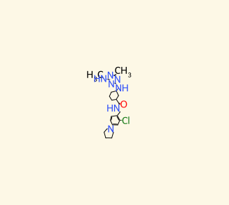 CNc1nc(C)nc(NC2CCCC(C(=O)NCc3ccc(N4CCCCC4)cc3Cl)C2)n1